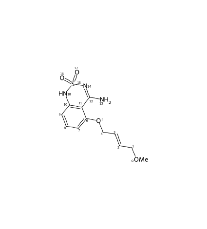 COCC=CCOc1cccc2c1C(N)=NS(=O)(=O)N2